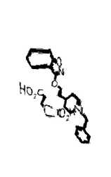 O=C(O)/C=C/C(=O)O.c1ccc(CN2CCC(CCOc3noc4ccccc34)CC2)cc1